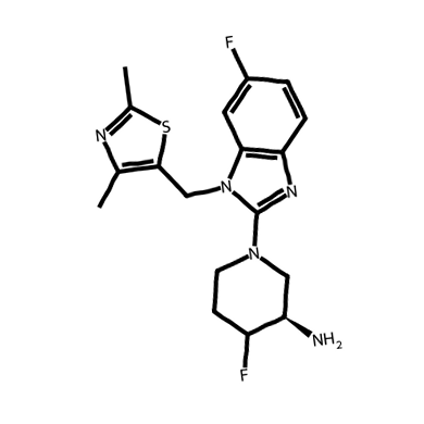 Cc1nc(C)c(Cn2c(N3CCC(F)[C@H](N)C3)nc3ccc(F)cc32)s1